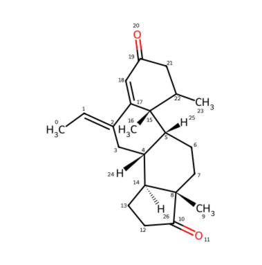 CC=C1C[C@@H]2[C@@H](CC[C@]3(C)C(=O)CC[C@@H]23)[C@]2(C)C1=CC(=O)CC2C